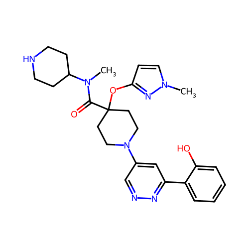 CN(C(=O)C1(Oc2ccn(C)n2)CCN(c2cnnc(-c3ccccc3O)c2)CC1)C1CCNCC1